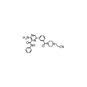 N#CCCN1CCN(C(=O)c2cccc(-c3cnc(N)c(C(=O)Nc4ccccc4)n3)c2)CC1